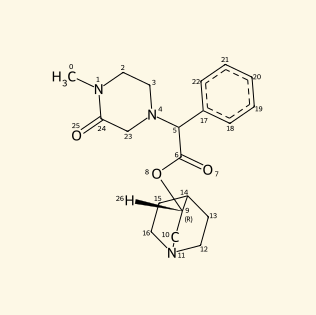 CN1CCN(C(C(=O)O[C@H]2CN3CCC2CC3)c2ccccc2)CC1=O